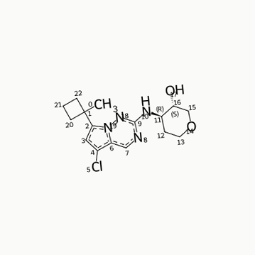 CC1(c2cc(Cl)c3cnc(N[C@@H]4CCOC[C@H]4O)nn23)CCC1